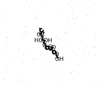 CC(C)CC(C(=O)OCCC(O)C(O)CCOC1=CC2OC(=O)C(c3ccc(OCCO)cc3)=CC2C=C1)C(C)C